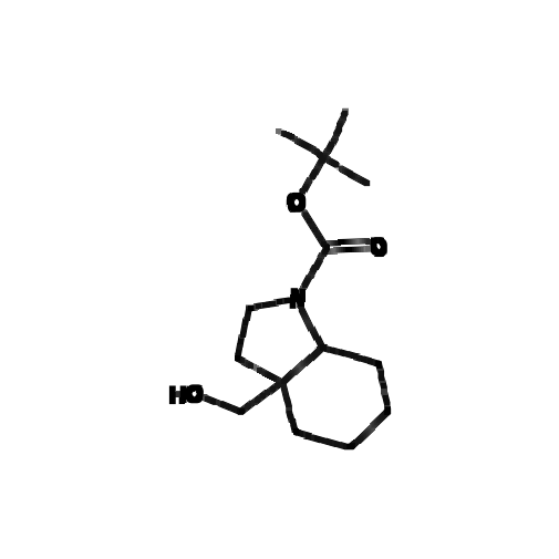 CC(C)(C)OC(=O)N1CCC2(CO)CCCCC12